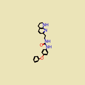 O=C(NCCc1ccc2c(n1)NCCC2)Nc1ccc(Oc2ccccc2)cc1